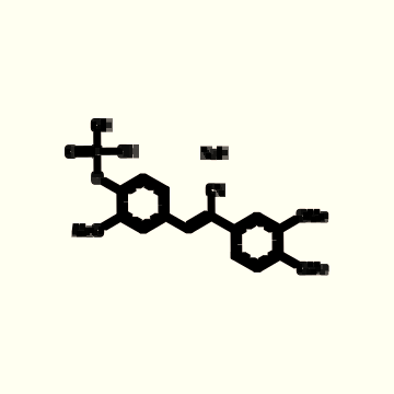 COc1ccc(/C(C#N)=C/c2ccc(OP(=O)(O)O)c(OC)c2)cc1OC.[NaH]